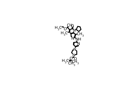 C=C(OCC)c1c(C)c2cnc(Nc3ccc(N4CCN(C(=O)OC(C)(C)C)CC4)cn3)c(C)c2n(C2CCCC2)c1=O